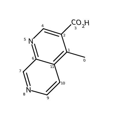 Cc1c(C(=O)O)cnc2cnccc12